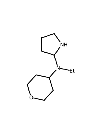 CCN(C1CCOCC1)C1CCCN1